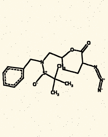 CC(C)(C)[S+]([O-])N(Cc1ccccc1)CC1CCC(N=[N+]=[N-])C(=O)O1